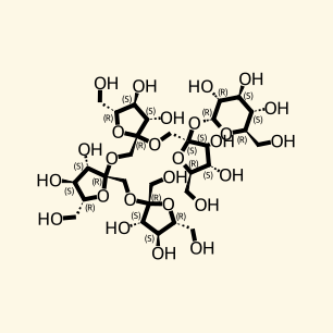 OC[C@H]1O[C@@](CO)(OC[C@@]2(OC[C@@]3(OC[C@@]4(O[C@H]5O[C@H](CO)[C@@H](O)[C@H](O)[C@H]5O)O[C@H](CO)[C@@H](O)[C@@H]4O)O[C@H](CO)[C@@H](O)[C@@H]3O)O[C@H](CO)[C@@H](O)[C@@H]2O)[C@@H](O)[C@@H]1O